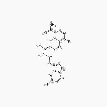 CCCN([C@@H]1COc2c(F)ccc(C(N)=O)c2C1)[C@@H](C)CCc1c[nH]c2ccc(F)cc12